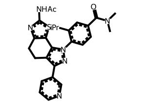 CC(=O)Nc1nc2c(s1)-c1c(c(-c3cccnc3)nn1-c1ccc(C(=O)N(C)C)cc1C(C)C)CC2